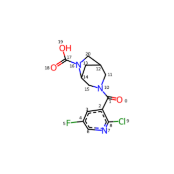 O=C(c1cc(F)cnc1Cl)N1CC2CC(C1)N(C(=O)O)C2